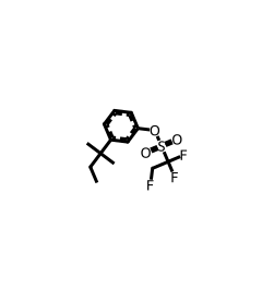 CCC(C)(C)c1cccc(OS(=O)(=O)C(F)(F)CF)c1